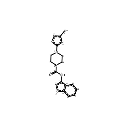 CC(C)c1nsc(N2CCN(C(=O)Nc3noc4ccccc34)CC2)n1